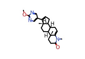 COc1ncc(C2=CC[C@H]3[C@@H]4CC=C5N(C)C(=O)CC[C@]5(C)[C@H]4CC[C@]23C)cn1